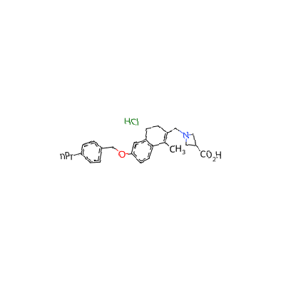 CCCc1ccc(COc2ccc3c(c2)CCC(CN2CC(C(=O)O)C2)=C3C)cc1.Cl